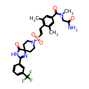 Cc1cc(C(=O)N(C)CC(N)=O)cc(C)c1C=CS(=O)(=O)N1CCC2(CC1)N=C(c1cccc(C(F)(F)F)c1)NC2=O